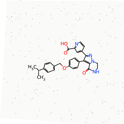 CC(C)c1ccc(COc2ccc(-c3c(-c4ccnc(C(=O)O)c4)nn4c3C(=O)NCC4)cc2)cc1